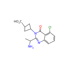 CC(N)c1nc2cccc(Cl)c2c(=O)n1C1CC(C(=O)O)C1